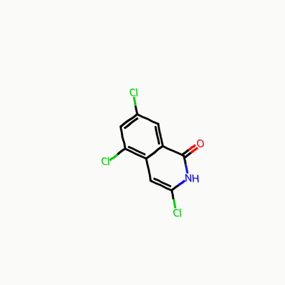 O=c1[nH]c(Cl)cc2c(Cl)cc(Cl)cc12